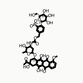 COc1cccc2c1C(=O)c1c(O)c3c(c(O)c1C2=O)C[C@@](O)(C(C)=O)C[C@@H]3OC1CC(NC(=O)OCc2ccc([C@@H]3O[C@H](CO)[C@H](O)[C@H](O)[C@H]3O)c([N+](=O)[O-])c2)C(O)C(C)O1